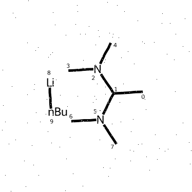 CC(N(C)C)N(C)C.[Li][CH2]CCC